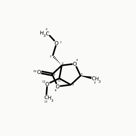 COC[C@@]12O[C@@H](C)C(OC1=O)C2OC